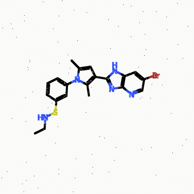 CCNSc1cccc(-n2c(C)cc(-c3nc4ncc(Br)cc4[nH]3)c2C)c1